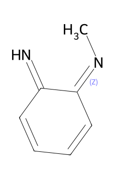 C/N=C1/C=CC=CC1=N